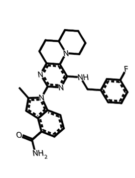 Cc1cc2c(C(N)=O)cccc2n1-c1nc2c(c(NCc3cccc(F)c3)n1)N1CCCCC1CC2